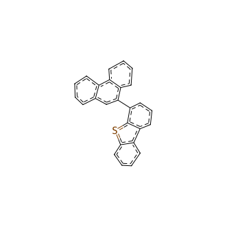 c1ccc2c(c1)cc(-c1cccc3c1sc1ccccc13)c1ccccc12